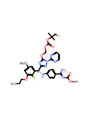 CCCOC(=O)/N=C(\N)c1ccc(N[C@@H](c2nc(OCOC(=O)OC(C)(C)CF)n(-c3ncccn3)n2)c2cc(OC)cc(OCCOC(C)=O)c2F)cc1